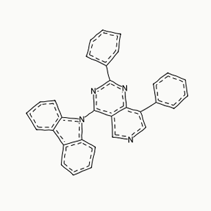 c1ccc(-c2nc(-n3c4ccccc4c4ccccc43)c3cncc(-c4ccccc4)c3n2)cc1